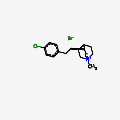 C[N+]12CCC(CC1)/C(=C/Cc1ccc(Cl)cc1)C2.[Br-]